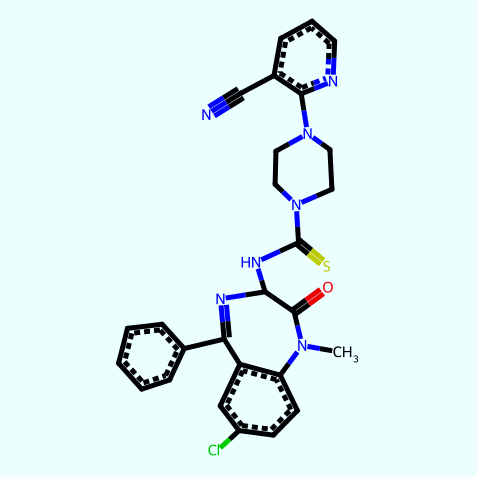 CN1C(=O)C(NC(=S)N2CCN(c3ncccc3C#N)CC2)N=C(c2ccccc2)c2cc(Cl)ccc21